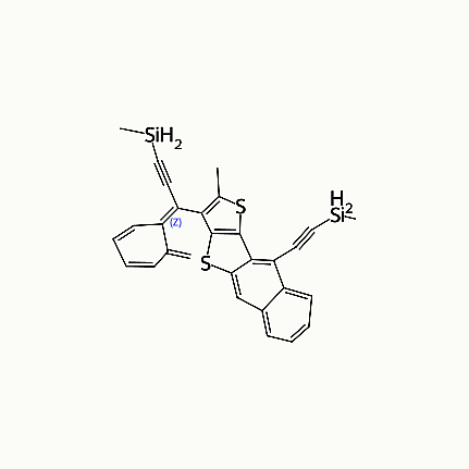 C=c1cccc/c1=C(\C#C[SiH2]C)c1c(C)sc2c1sc1cc3ccccc3c(C#C[SiH2]C)c12